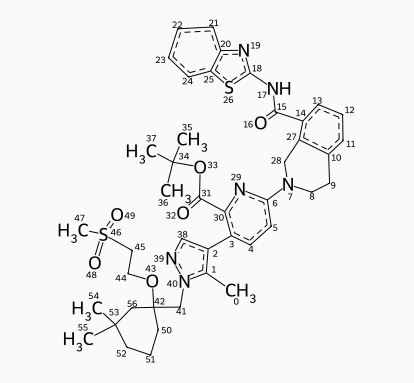 Cc1c(-c2ccc(N3CCc4cccc(C(=O)Nc5nc6ccccc6s5)c4C3)nc2C(=O)OC(C)(C)C)cnn1CC1(OCCS(C)(=O)=O)CCCC(C)(C)C1